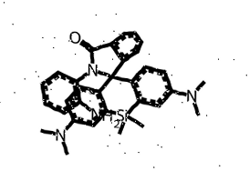 CN(C)c1ccc2c(c1)[Si](C)(C)c1cc(N(C)C)ccc1C21c2ccccc2C(=O)N1c1ccccc1N